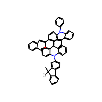 CCC1(C)c2ccccc2-c2ccc(N(c3ccccc3)c3ccccc3-c3ccc(-c4ccccc4N(c4ccccc4)c4ccc(-c5ccc6ccccc6c5)cc4)cc3)cc21